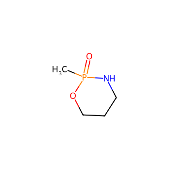 CP1(=O)NCCCO1